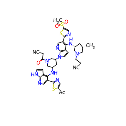 CC(=O)c1cnc(-c2cnc3[nH]ccc3c2N[C@@H]2CC(n3ccc4c(N[C@@H]5C[C@H](C)CN(CCC#N)C5)c(-c5ncc(S(C)(=O)=O)s5)cnc43)CN(C(=O)CC#N)C2)s1